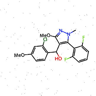 COc1ccc(C(O)c2c(OC)nn(C)c2-c2c(F)cccc2F)c(Cl)c1